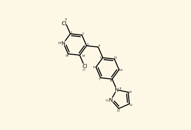 Clc1cc(Cc2ccc(-n3cccn3)cc2)c(Cl)cn1